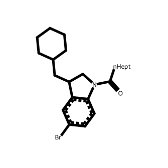 CCCCCCCC(=O)N1CC(CC2CCCCC2)c2cc(Br)ccc21